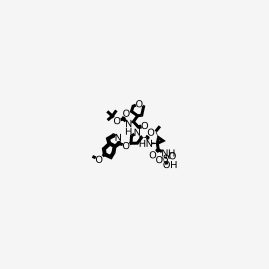 CC[C@@H]1C[C@]1(NC(=O)[C@@H]1CC(Oc2nccc3cc(OC)ccc23)CN1C(=O)[C@@H](NC(=O)OC(C)(C)C)C1CCOCC1)C(=O)NS(=O)(=O)O